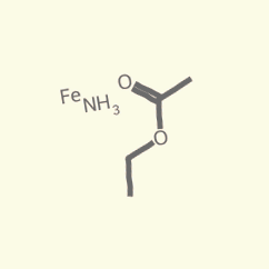 CCOC(C)=O.N.[Fe]